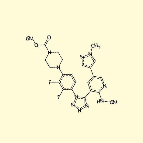 Cn1cc(-c2cnc(NC(C)(C)C)c(-c3nnnn3-c3ccc(N4CCN(C(=O)OC(C)(C)C)CC4)c(F)c3F)c2)cn1